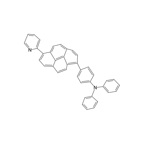 c1ccc(N(c2ccccc2)c2ccc(-c3ccc4ccc5c(-c6ccccn6)ccc6ccc3c4c65)cc2)cc1